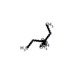 CCCCCCCC/C=C\CCCCCCCC(=O)N(C(=O)CCCCCCC/C=C\CCCCCCCC)C(CCSC)C(=O)O